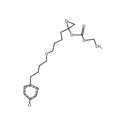 CCOC(=O)OC1(CCCCOCCCCc2ccc(Cl)cc2)CO1